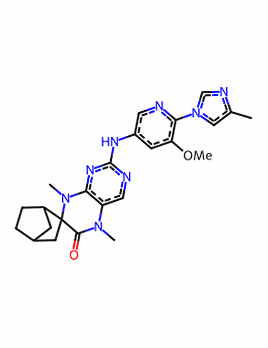 COc1cc(Nc2ncc3c(n2)N(C)C2(CC4CCC2C4)C(=O)N3C)cnc1-n1cnc(C)c1